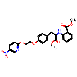 COC(=O)c1ccccc1NC(Cc1ccc(OCCOc2ccc([N+](=O)[O-])cn2)cc1)C(=O)OC